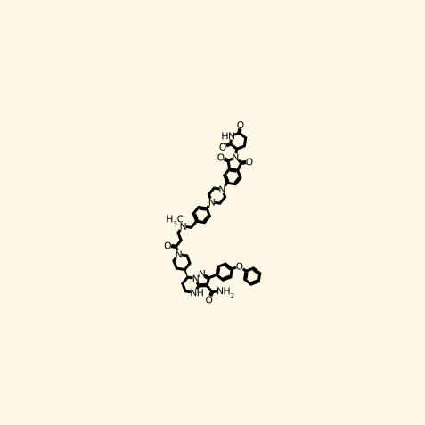 CN(CCC(=O)N1CCC([C@@H]2CCNc3c(C(N)=O)c(-c4ccc(Oc5ccccc5)cc4)nn32)CC1)Cc1ccc(N2CCN(c3ccc4c(c3)C(=O)N(C3CCC(=O)NC3=O)C4=O)CC2)cc1